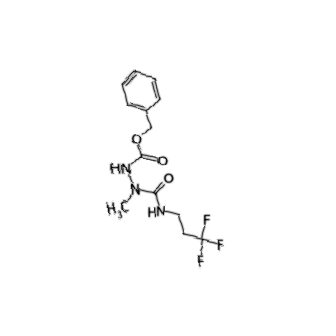 CN(NC(=O)OCc1ccccc1)C(=O)NCCC(F)(F)F